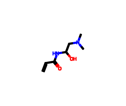 C=CC(=O)NC(O)CN(C)C